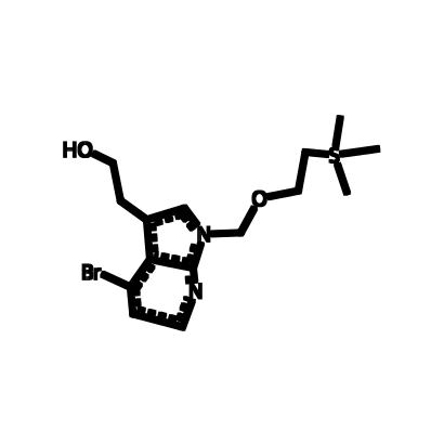 CS(C)(C)CCOCn1cc(CCO)c2c(Br)ccnc21